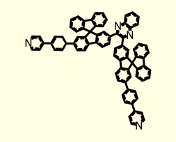 C1=CC(c2ccc3c(c2)C2(c4ccccc4-c4ccccc42)c2cc(-c4nc5ccccc5nc4-c4ccc5c(c4)C4(c6ccccc6-c6ccccc64)c4cc(-c6ccc(-c7ccncc7)cc6)ccc4-5)ccc2-3)CC=C1c1ccncc1